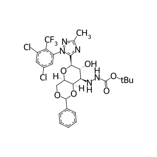 Cc1nc([C@@H]2O[C@@H]3COC(c4ccccc4)O[C@@H]3[C@H](NNC(=O)OC(C)(C)C)[C@H]2O)n(-c2cc(Cl)cc(Cl)c2C(F)(F)F)n1